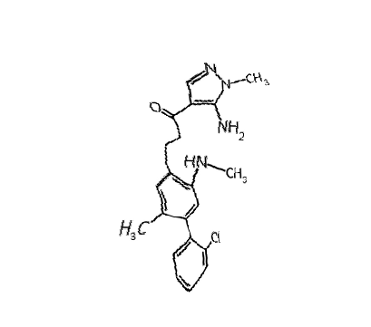 CNc1cc(-c2ccccc2Cl)c(C)cc1CCC(=O)c1cnn(C)c1N